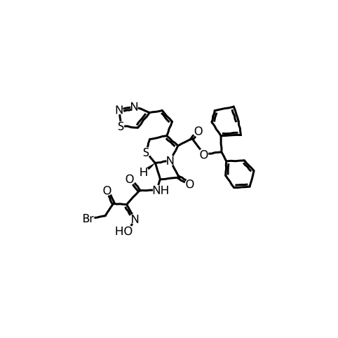 O=C(CBr)C(=NO)C(=O)NC1C(=O)N2C(C(=O)OC(c3ccccc3)c3ccccc3)=C(/C=C\c3csnn3)CS[C@@H]12